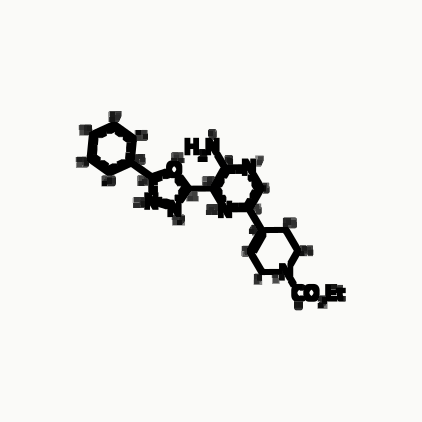 CCOC(=O)N1CC=C(c2cnc(N)c(-c3nnc(-c4ccccc4)o3)n2)CC1